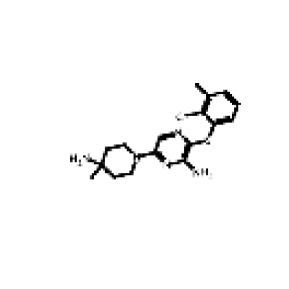 Cc1cccc(Sc2ncc(N3CCC(C)(N)CC3)nc2N)c1Cl